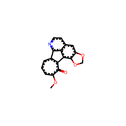 COc1cccc2c(c1=O)-c1c3c(cc4ccnc-2c14)OCO3